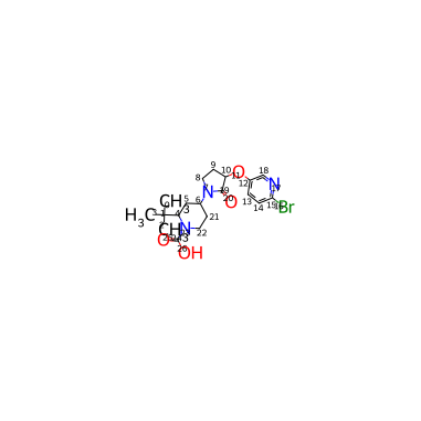 CC(C)(C)C1CC(N2CCC(Oc3ccc(Br)nc3)C2=O)CCN1C(=O)O